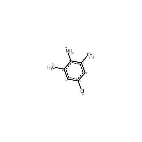 Cc1cc(Cl)cc(C)c1N